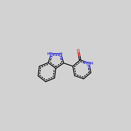 O=c1[nH]cccc1-c1n[nH]c2ccccc12